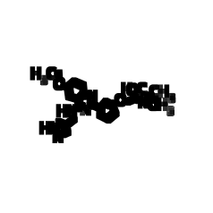 CCOc1ccc2nc(-c3cccc(OCC(=O)NC(C)(C)C)c3)nc(NCc3cn[nH]c3)c2c1